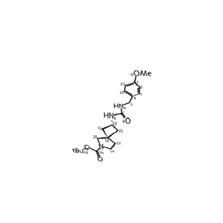 COc1ccc(CNC(=O)N[C@H]2C[C@]3(CCN(C(=O)OC(C)(C)C)C3)C2)cc1